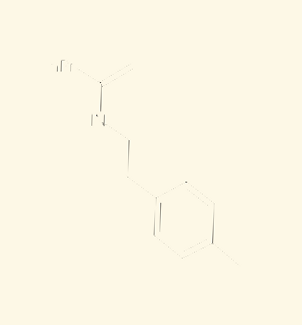 C=C(CCC)NCCc1ccc(C)cc1